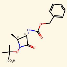 C[C@H]1[C@H](NC(=O)OCc2ccccc2)C(=O)N1OC(C)(C)C(=O)O